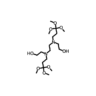 COC(CCN(CCO)CCN(CCO)CCC(OC)(OC)OC)(OC)OC